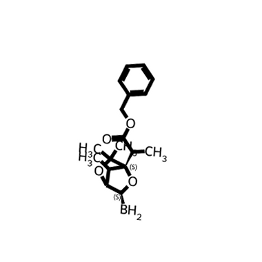 B[C@@H]1O[C@]2(C(C)C(=O)OCc3ccccc3)C(C)C1OC2(C)C